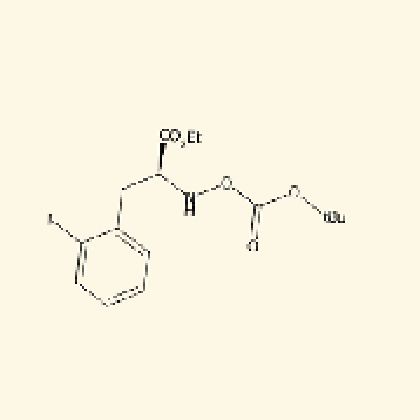 CCOC(=O)[C@H](Cc1ccccc1I)NOC(=O)OC(C)(C)C